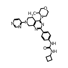 CC1COCCN1c1nc(-c2ccc(NC(=O)NC3CCC3)cc2)nc2c1CCN(c1ccncn1)C2